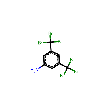 Nc1cc(C(Br)(Br)Br)cc(C(Br)(Br)Br)c1